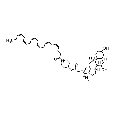 CC/C=C\C/C=C\C/C=C\C/C=C\C/C=C\C/C=C\CCC(=O)N1CCC(NC(=O)CC[C@@H](C)C2CC[C@H]3[C@@H]4[C@H](O)C[C@@H]5C[C@H](O)CC[C@]5(C)[C@H]4CC[C@]23C)CC1